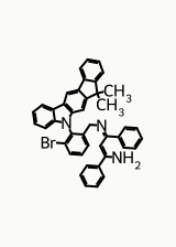 CC1(C)c2ccccc2-c2cc3c4ccccc4n(-c4c(Br)cccc4C/N=C(\C=C(/N)c4ccccc4)c4ccccc4)c3cc21